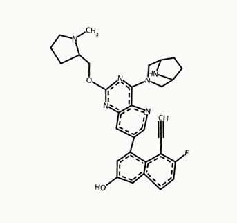 C#Cc1c(F)ccc2cc(O)cc(-c3cnc4c(N5CC6CCC(C5)N6)nc(OCC5CCCN5C)nc4c3)c12